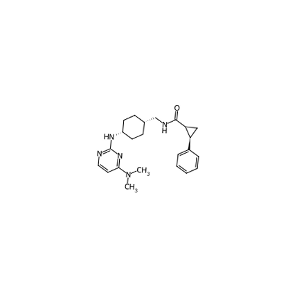 CN(C)c1ccnc(N[C@H]2CC[C@@H](CNC(=O)C3C[C@H]3c3ccccc3)CC2)n1